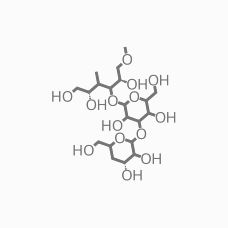 COC[C@@H](O)C(OC1OC(CO)C(O)C(OC2OC(CO)C[C@@H](O)C2O)C1O)C(C)[C@H](O)CO